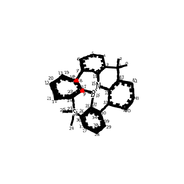 CC1(C)c2cccc(-c3ccccc3)c2N(B2c3ccccc3[Si](C)(C)c3ccccc32)c2c(-c3ccccc3)cccc21